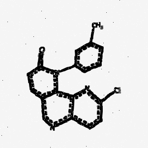 Cc1cccc(-n2c(=O)ccc3cnc4ccc(Cl)nc4c32)c1